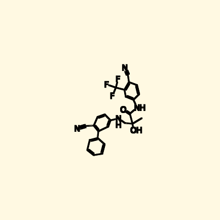 CC(O)(CNc1ccc(C#N)c(-c2ccccc2)c1)C(=O)Nc1ccc(C#N)c(C(F)(F)F)c1